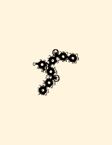 Cc1ccc(N(c2ccc(C(=O)c3ccc(-c4ccccc4)cc3)cc2)c2ccc(C(=O)c3ccc(-c4ccccc4)cc3)cc2)c(C)c1